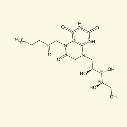 CCCC(=O)CN1C(=O)CN(C[C@H](O)[C@H](O)[C@H](O)CO)c2[nH]c(=O)[nH]c(=O)c21